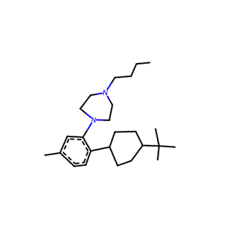 CCCCN1CCN(c2cc(C)ccc2C2CCC(C(C)(C)C)CC2)CC1